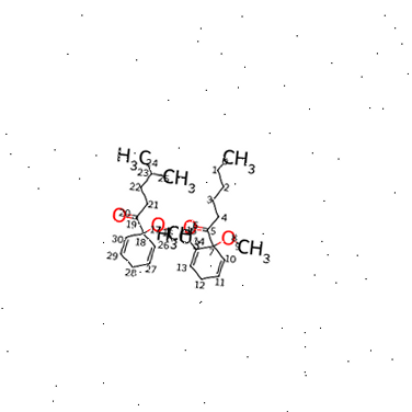 CCCCCC(=O)C1(OC)C=CCC=C1C.COC1(C(=O)CCC(C)C)C=CCC=C1